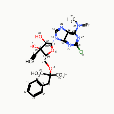 C#C[C@@]1(O)[C@@H](COC(Cc2ccccc2)(C(=O)O)C(=O)O)O[C@@H](n2cnc3c(N(C)C(C)C)nc(Cl)nc32)[C@@H]1O